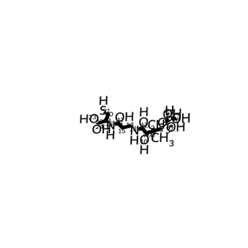 CC(C)(CO[PH](O)(O)O)[C@@H](O)C(O)NCCC(O)NC(CS)C(O)O